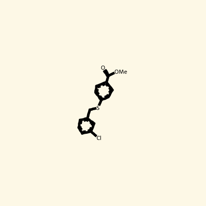 COC(=O)c1ccc(SCc2cccc(Cl)c2)cc1